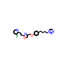 Fc1cccnc1/C=C/c1nc(COc2ccc(CCCCn3ccnn3)cc2)co1